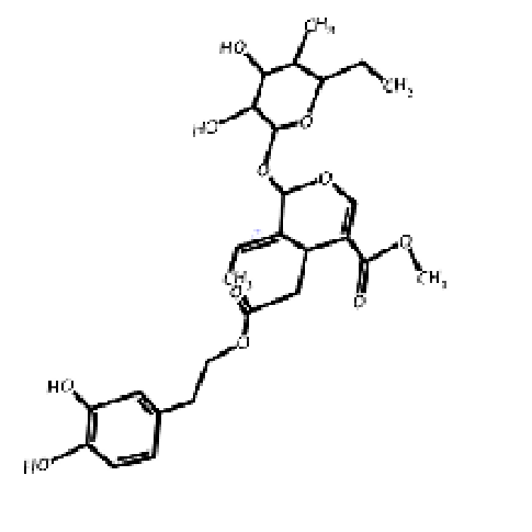 C/C=C1/C(OC2OC(CC)C(C)C(O)C2O)OC=C(C(=O)OC)C1CC(=O)OCCc1ccc(O)c(O)c1